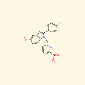 COC(=O)c1cccc(Cn2c(-c3ccc(F)cc3)cc3cc(OC)ccc32)n1